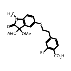 CCc1cc(CCSc2ccc3c(c2)C(OC)(OC)C(=O)N3C)ccc1C(=O)O